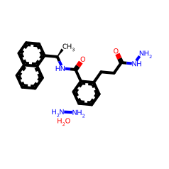 C[C@@H](NC(=O)c1ccccc1CCC(=O)NN)c1cccc2ccccc12.NN.O